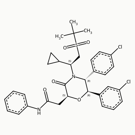 CC(C)(C)S(=O)(=O)C[C@H](C1CC1)N1C(=O)[C@H](CC(=O)Nc2ccccc2)O[C@H](c2cccc(Cl)c2)[C@H]1c1ccc(Cl)cc1